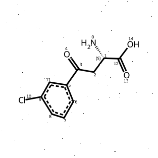 N[C@@H](CC(=O)c1cccc(Cl)c1)C(=O)O